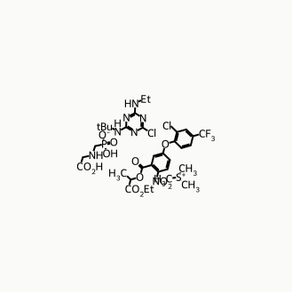 CCNc1nc(Cl)nc(NC(C)(C)C)n1.CCOC(=O)C(C)OC(=O)c1cc(Oc2ccc(C(F)(F)F)cc2Cl)ccc1[N+](=O)[O-].C[S+](C)C.O=C(O)CNCP(=O)([O-])O